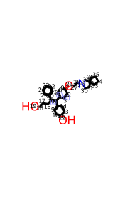 C=C(\C=C/C(=C\C)C(/C1=CCC(O)C=C1)=C(/CCCO)c1ccccc1)OCCN1CCC2(CCCC2)C1